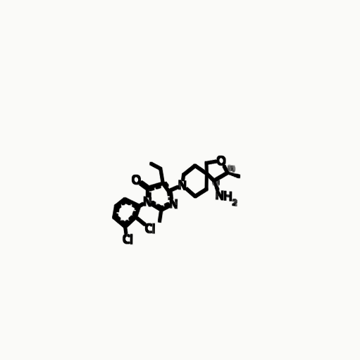 CCc1c(N2CCC3(CC2)CO[C@@H](C)[C@H]3N)nc(C)n(-c2cccc(Cl)c2Cl)c1=O